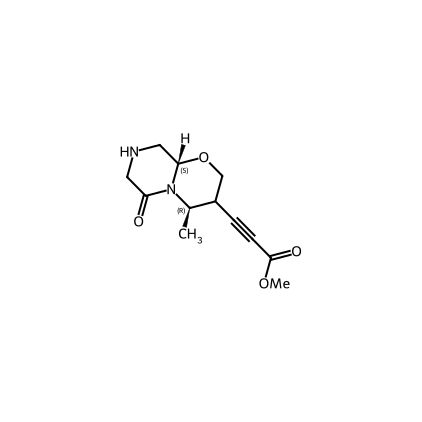 COC(=O)C#CC1CO[C@H]2CNCC(=O)N2[C@@H]1C